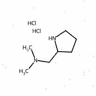 CN(C)CC1CCCN1.Cl.Cl